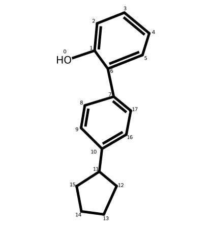 Oc1ccccc1-c1ccc(C2CCCC2)cc1